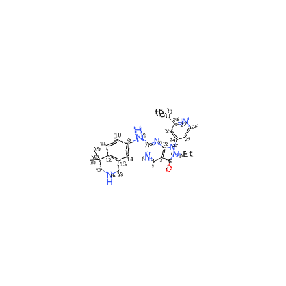 CCn1c(=O)c2cnc(Nc3ccc4c(c3)CNCC4(C)C)nc2n1-c1ccnc(C(C)(C)C)c1